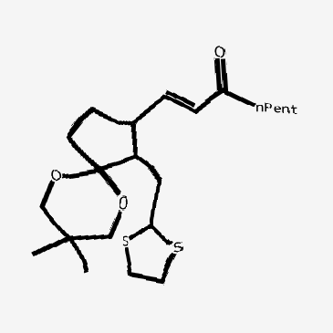 CCCCCC(=O)C=CC1CCC2(OCC(C)(C)CO2)C1CC1SCCS1